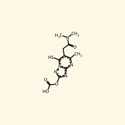 Cc1nc2nc(OC(=O)O)nn2c(S)c1CC(=O)N(C)C